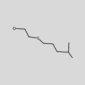 CC(C)CCCSCC[O]